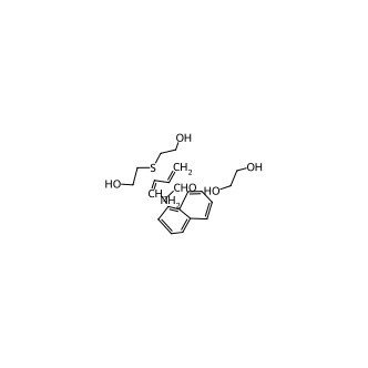 C=CC=C.NC=O.OCCO.OCCSCCO.c1ccc2ccccc2c1